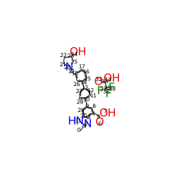 Cc1nc2c(C(=O)O)cc(-c3ccc(-c4cccc(CN5CCC(O)C5)c4)cc3)cc2[nH]1.O=C(O)C(F)(F)F